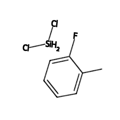 Cc1ccccc1F.Cl[SiH2]Cl